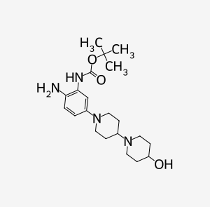 CC(C)(C)OC(=O)Nc1cc(N2CCC(N3CCC(O)CC3)CC2)ccc1N